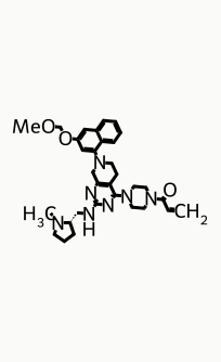 C=CC(=O)N1CCN(c2nc(NC[C@@H]3CCCN3C)nc3c2CCN(c2cc(OCOC)cc4ccccc24)C3)CC1